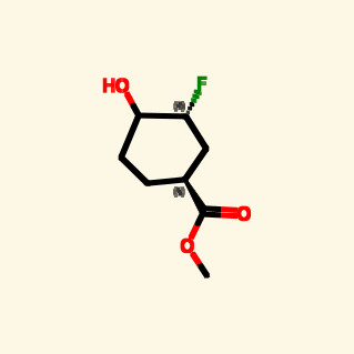 COC(=O)[C@H]1CCC(O)[C@H](F)C1